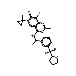 Cc1nc(NC(C)c2cccc(C(F)(F)C3CCCO3)c2)c2cn(C3(C)CC3)c(=O)c(F)c2n1